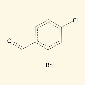 O=Cc1ccc(Cl)cc1Br